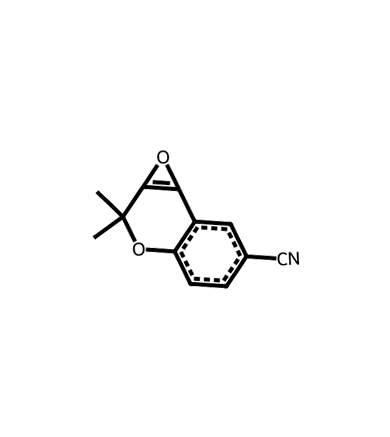 CC1(C)Oc2ccc(C#N)cc2C2=C1O2